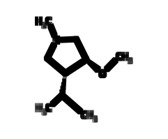 CO[C@@H]1CN(C)C[C@H]1C(C)C